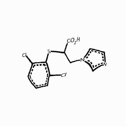 O=C(O)C(Cn1ccnc1)Sc1c(Cl)cccc1Cl